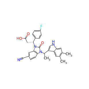 Cc1cc2[nH]cc(C(C)n3c(=O)n([C@H](CC(=O)O)c4ccc(F)cc4)c4cc(C#N)ccc43)c2cc1C